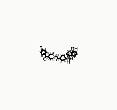 O=C(c1ccc(F)cc1)C1CCN(CCC2CCC(NC(=O)[C@@H]3CC4CC[C@@H]3C(O)C4)CC2)CC1